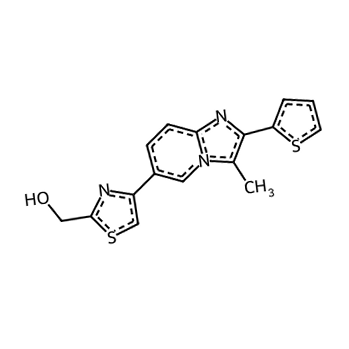 Cc1c(-c2cccs2)nc2ccc(-c3csc(CO)n3)cn12